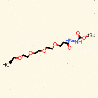 C#CCOCCOCCOCCOCCC(=O)NNC(=O)OC(C)(C)C